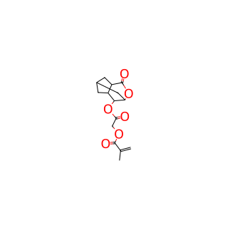 C=C(C)C(=O)OCC(=O)OC1C2CC3CC(C(=O)O2)C1C3